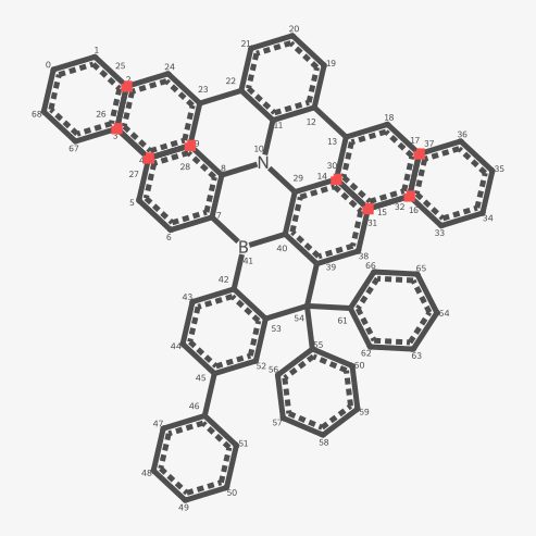 c1ccc(-c2ccc3c(c2)N(c2c(-c4ccccc4)cccc2-c2ccccc2)c2cc(-c4ccccc4)cc4c2B3c2ccc(-c3ccccc3)cc2C4(c2ccccc2)c2ccccc2)cc1